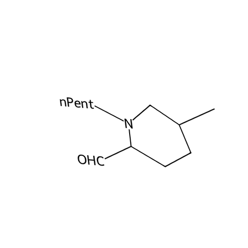 CCCCCN1CC(C)CCC1C=O